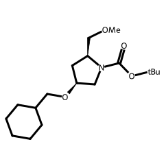 COC[C@@H]1C[C@H](OCC2CCCCC2)CN1C(=O)OC(C)(C)C